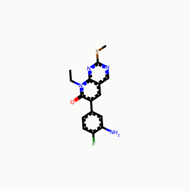 CCn1c(=O)c(-c2ccc(F)c(N)c2)cc2cnc(SC)nc21